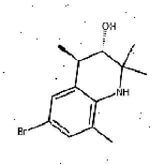 Cc1cc(Br)cc2c1NC(C)(C)[C@@H](O)[C@@H]2C